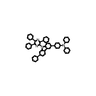 c1ccc(-c2ccc3c4cc(-c5ccc(N(c6ccccc6)c6ccccc6)cc5)ccc4n(-c4nc(-c5ccccc5)c(-c5ccccc5)nc4-c4ccccc4)c3c2)cc1